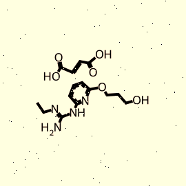 CCN=C(N)Nc1cccc(OCCCO)n1.O=C(O)C=CC(=O)O